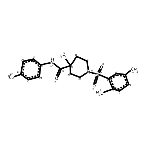 Cc1ccc(C)c(S(=O)(=O)N2CCC(O)(C(=O)Nc3ccc(C(C)(C)C)cc3)CC2)c1